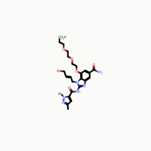 CCn1nc(C)cc1C(=O)Nc1nc2cc(C(N)=O)cc(OCCOCCOCCC(=O)O)c2n1C/C=C/CBr